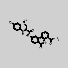 CC(C)OC[C@H](Nc1ccc(Cl)cc1)C(=O)Nc1ccc2c(=O)[nH]c3c(C(N)=O)cccc3c2c1